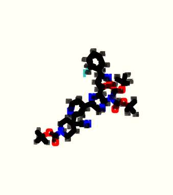 CC(C)(C)OC(=O)N1CCC(C#N)(c2cc(-c3cnc(N(C(=O)OC(C)(C)C)C(=O)OC(C)(C)C)c(-c4cc(-c5ccccc5F)no4)n3)ccn2)CC1